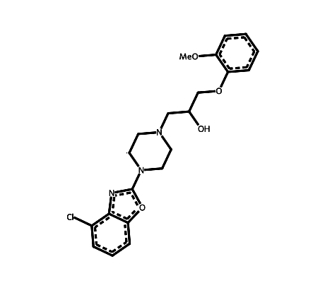 COc1ccccc1OCC(O)CN1C[CH]N(c2nc3c(Cl)cccc3o2)CC1